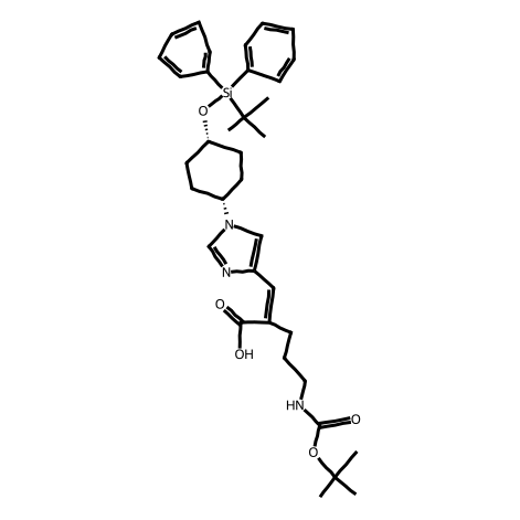 CC(C)(C)OC(=O)NCCCC(=Cc1cn([C@H]2CC[C@@H](O[Si](c3ccccc3)(c3ccccc3)C(C)(C)C)CC2)cn1)C(=O)O